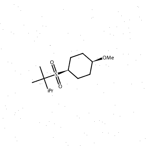 CO[C@H]1CC[C@@H](S(=O)(=O)C(C)(C)C(C)C)CC1